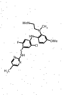 CNCCN(C)c1cc(OC)ccc1Nc1cc(F)c(SNc2ncc(C)cn2)cc1Cl